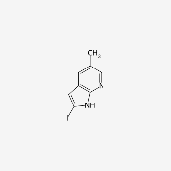 Cc1cnc2[nH]c(I)cc2c1